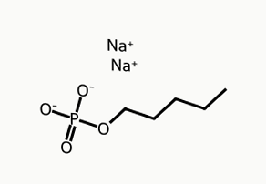 CCCCCOP(=O)([O-])[O-].[Na+].[Na+]